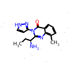 CC[C@H](N)c1nc2c(C)cccc2c(=O)n1-c1cc[nH]n1